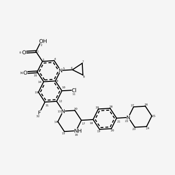 O=C(O)c1cn(C2CC2)c2c(Cl)c(N3CCNC(c4ccc(N5CCCCC5)cc4)C3)c(F)cc2c1=O